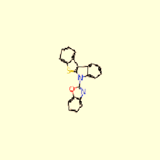 c1ccc2oc(-n3c4ccccc4c4c5ccccc5sc43)nc2c1